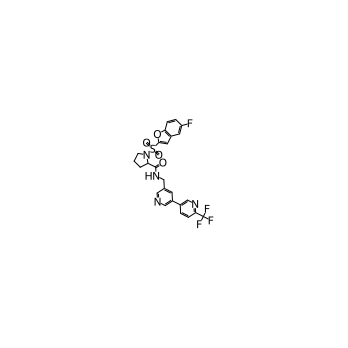 O=C(NCc1cncc(-c2ccc(C(F)(F)F)nc2)c1)C1CCCN1S(=O)(=O)c1cc2cc(F)ccc2o1